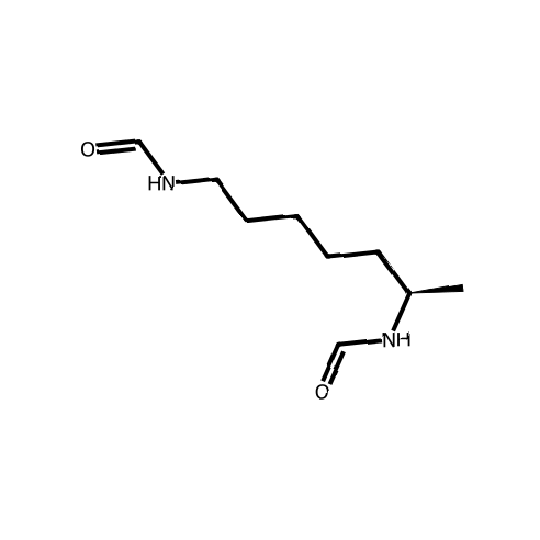 C[C@H](CCCCCNC=O)NC=O